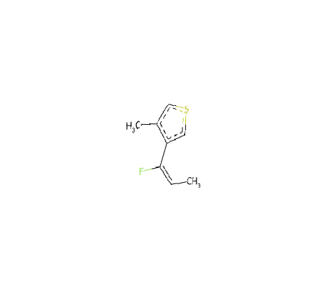 C/C=C(/F)c1cscc1C